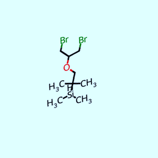 C[SiH](C)C(C)(C)COC(CBr)CBr